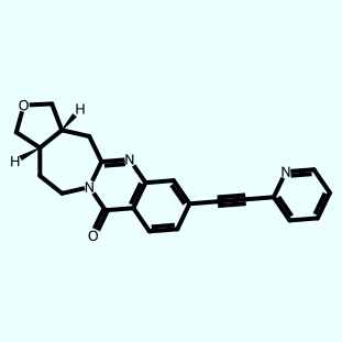 O=c1c2ccc(C#Cc3ccccn3)cc2nc2n1CC[C@@H]1COC[C@@H]1C2